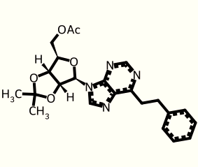 CC(=O)OC[C@H]1O[C@@H](n2cnc3c(CCc4ccccc4)ncnc32)[C@@H]2OC(C)(C)O[C@@H]21